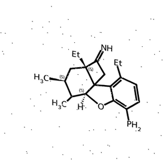 CCc1ccc(P)c2c1C13CC(=N)[C@@]1(CC)C[C@H](C)C(C)[C@@H]3O2